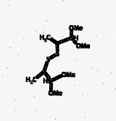 CO[SiH](OC)C(C)SSC(C)[SiH](OC)OC